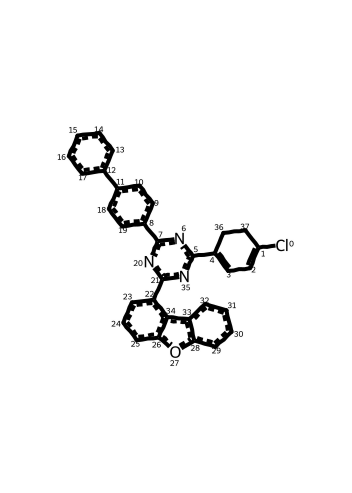 ClC1=CC=C(c2nc(-c3ccc(-c4ccccc4)cc3)nc(-c3cccc4oc5ccccc5c34)n2)CC1